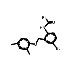 CCC(=O)Nc1ccc(CC)cc1COc1ccc(C)cc1C